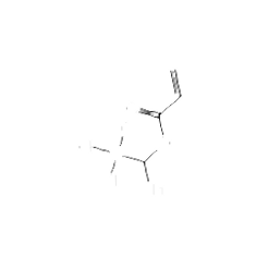 C=CC(=O)OC(C(C)C)[Si](Cl)(Cl)Cl